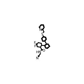 N#CCNC(=O)C1CC(F)(F)CCC1c1ccccc1-c1ccc(SCc2ccccn2)cc1